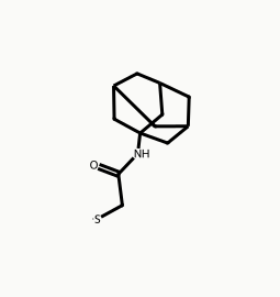 O=C(C[S])NC12CC3CC(CC(C3)C1)C2